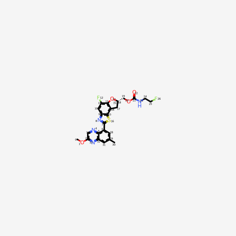 COc1cnc2c(-c3nc4cc(F)c5c(c4s3)C[C@@H](COC(=O)NCCF)O5)cc(C)cc2n1